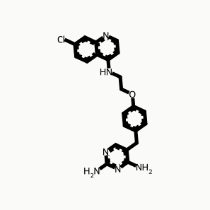 Nc1ncc(Cc2ccc(OCCNc3ccnc4cc(Cl)ccc34)cc2)c(N)n1